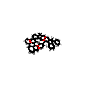 CC1(C)c2ccccc2-c2c(N(c3ccccc3-c3cccc4c3-c3ccccc3C4(C)c3ccccc3)c3ccccc3-c3cccc4cccc(C5CCCCC5)c34)cccc21